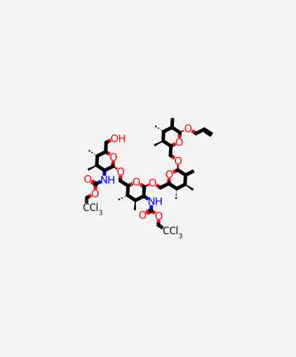 C=CCO[C@@H]1OC(CO[C@@H]2OC(CO[C@@H]3OC(CO[C@@H]4OC(CO)[C@@H](C)[C@H](C)C4NC(=O)OCC(Cl)(Cl)Cl)[C@@H](C)[C@H](C)C3NC(=O)OCC(Cl)(Cl)Cl)[C@@H](C)[C@H](C)C2C)[C@@H](C)[C@H](C)C1C